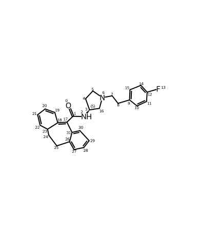 O=C(N[C@H]1CCN(CCc2ccc(F)cc2)C1)C1=C2C=CC=CC2CCc2ccccc21